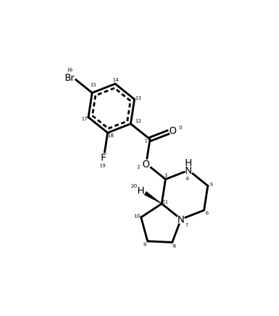 O=C(OC1NCCN2CCC[C@H]12)c1ccc(Br)cc1F